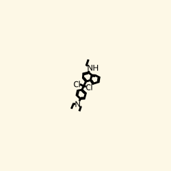 CCNc1ccc(C(Cl)(Cl)c2ccc(N(CC)CC)cc2)c2ccccc12